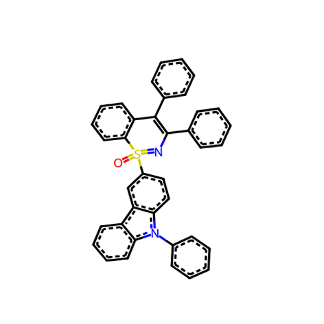 O=S1(c2ccc3c(c2)c2ccccc2n3-c2ccccc2)=NC(c2ccccc2)=C(c2ccccc2)c2ccccc21